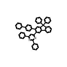 c1ccc(-c2ccc(-c3cc4c(cc3-c3cc(-c5ccccc5)nc(-c5ccccc5)n3)-c3ccccc3C4(c3ccccc3)c3ccccc3)cc2)cc1